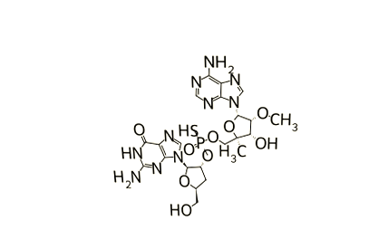 CO[C@H]1[C@@H](n2cnc3c(N)ncnc32)O[C@](C)(COP(=O)(S)O[C@@H]2C[C@@H](CO)O[C@H]2n2cnc3c(=O)[nH]c(N)nc32)[C@H]1O